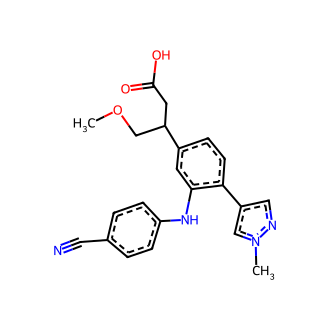 COCC(CC(=O)O)c1ccc(-c2cnn(C)c2)c(Nc2ccc(C#N)cc2)c1